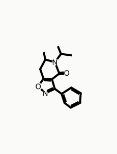 CC(C)N1C(=O)c2c(-c3ccccc3)noc2CC1C